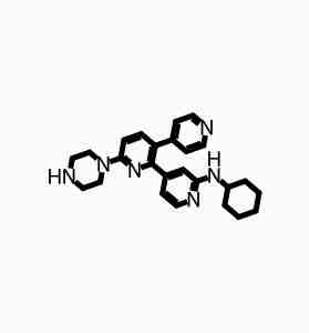 c1cc(-c2ccc(N3CCNCC3)nc2-c2ccnc(NC3CCCCC3)c2)ccn1